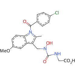 COc1ccc2c(c1)c(CN(O)C(=O)NCC(=O)O)c(C)n2C(=O)c1ccc(Cl)cc1